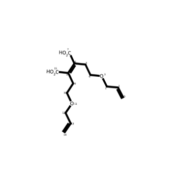 C=CCOCC/C(C(=O)O)=C(\CCOCC=C)C(=O)O